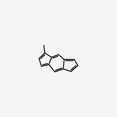 CC1=C[C]=c2cc3c(cc21)=CC=C3